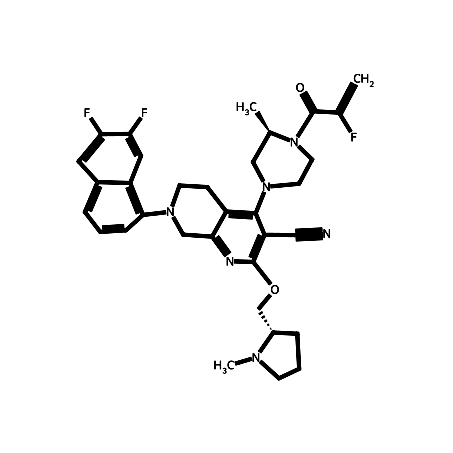 C=C(F)C(=O)N1CCN(c2c(C#N)c(OC[C@@H]3CCCN3C)nc3c2CCN(c2cccc4cc(F)c(F)cc24)C3)C[C@H]1C